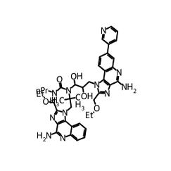 CCCNC(=O)N(C(O)C(O)Cn1c(COCC)nc2c(N)nc3cc(-c4cccnc4)ccc3c21)C(C)(C)Cn1c(COCC)nc2c(N)nc3ccccc3c21